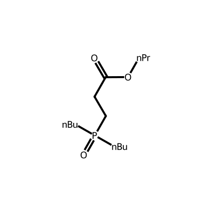 CCCCP(=O)(CCCC)CCC(=O)OCCC